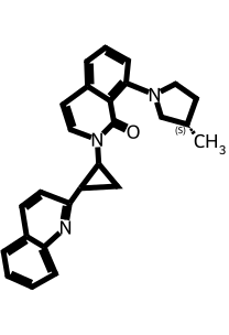 C[C@H]1CCN(c2cccc3ccn(C4CC4c4ccc5ccccc5n4)c(=O)c23)C1